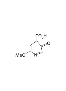 COC1=CC(C(=O)O)C(=O)C=N1